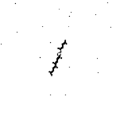 CC(C)=C/C=C(\C)CO/C(C)=C/C=C(C)/C(C)=C/C=C(C)C